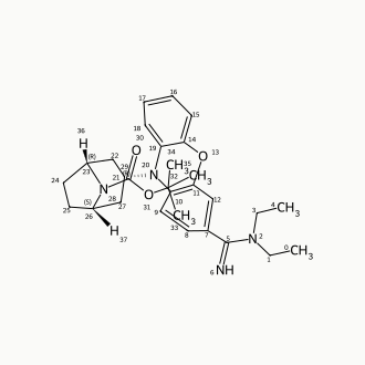 CCN(CC)C(=N)c1ccc2c(c1)Oc1ccccc1N2[C@H]1C[C@H]2CC[C@@H](C1)N2C(=O)OC(C)(C)C